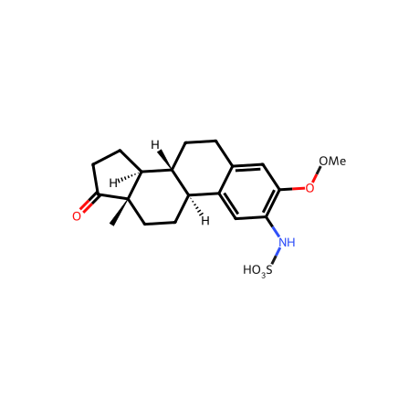 COOc1cc2c(cc1NS(=O)(=O)O)[C@H]1CC[C@]3(C)C(=O)CC[C@H]3[C@@H]1CC2